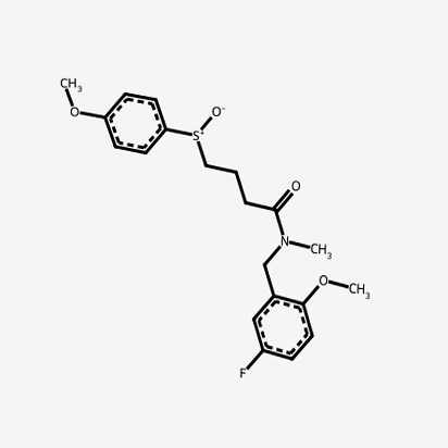 COc1ccc([S+]([O-])CCCC(=O)N(C)Cc2cc(F)ccc2OC)cc1